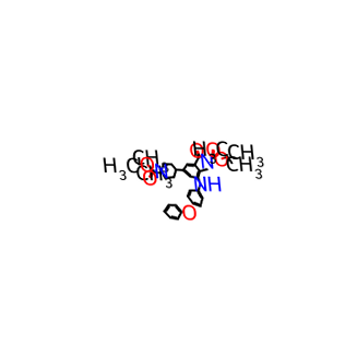 CC(C)(C)OC(=O)N1CCC(c2cc(Nc3ccc(Oc4ccccc4)cc3)c3c(c2)C(=O)N(C(=O)OC(C)(C)C)C3)CC1